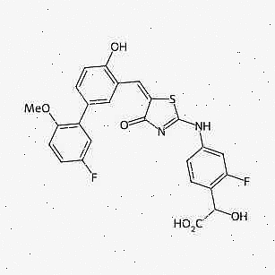 COc1ccc(F)cc1-c1ccc(O)c(/C=C2/SC(Nc3ccc(C(O)C(=O)O)c(F)c3)=NC2=O)c1